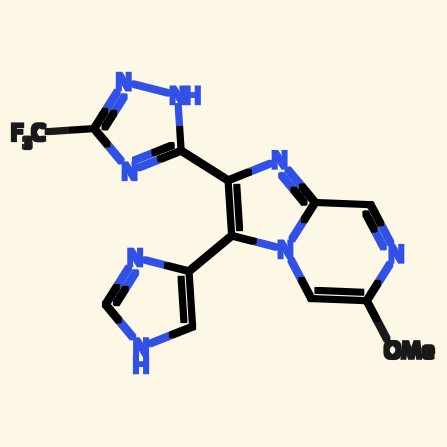 COc1cn2c(-c3c[nH]cn3)c(-c3nc(C(F)(F)F)n[nH]3)nc2cn1